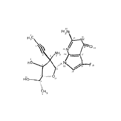 CC#CC1(N)C(O)[C@@H]([C@H](C)O)O[C@H]1n1cc(F)c2c(=O)[nH]c(N)nc21